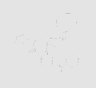 CN(CCN1C(=O)c2cc3occc3n2CC1(C)C(=O)NC1CCCCCCC1)C1CCCCC1